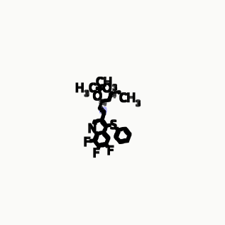 CC[C@H]1C[C@@H](/C=C/c2cnc3c(F)c(F)c(F)cc3c2Sc2ccccc2)OC(C)(C)O1